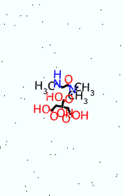 CNCC(=O)N(C)C.O=C(O)CC(O)(CC(=O)O)C(=O)O